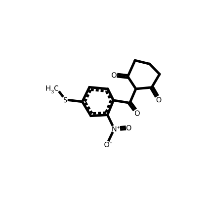 CSc1ccc(C(=O)C2C(=O)CCCC2=O)c([N+](=O)[O-])c1